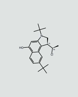 C[C@@H](Cl)[C@@H]1CN(C(C)(C)C)c2cc(O)c3ccc(C(C)(C)C)cc3c21